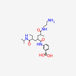 CCC(CC(CC(C)C(=O)NCCCN)C(=O)Nc1cccc(B(O)O)c1)C(=O)NC(C)C